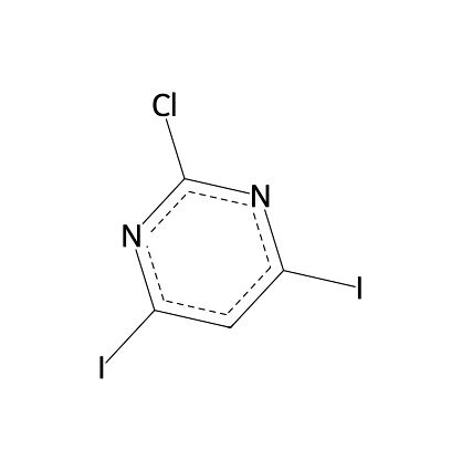 Clc1nc(I)cc(I)n1